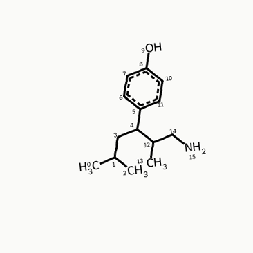 CC(C)CC(c1ccc(O)cc1)C(C)CN